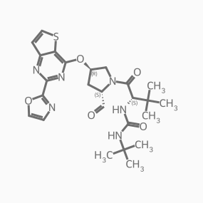 CC(C)(C)NC(=O)N[C@H](C(=O)N1C[C@H](Oc2nc(-c3ncco3)nc3ccsc23)C[C@H]1C=O)C(C)(C)C